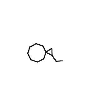 CCC1CC12CCCCCCC2